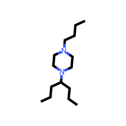 CCCCN1CCN(C(CCC)CCC)CC1